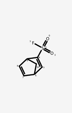 O=S(=O)(F)C1=CC2C=CC1C2